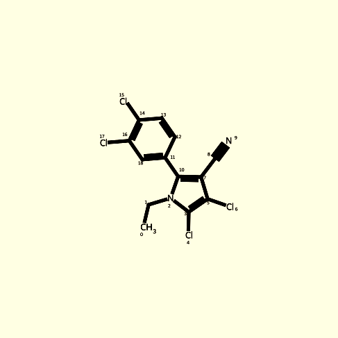 CCn1c(Cl)c(Cl)c(C#N)c1-c1ccc(Cl)c(Cl)c1